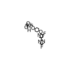 C[C@@H](CO[C@H]1CC[C@H](Oc2ncc(-c3ncc(F)cn3)cc2F)CC1)NS(C)(=O)=O